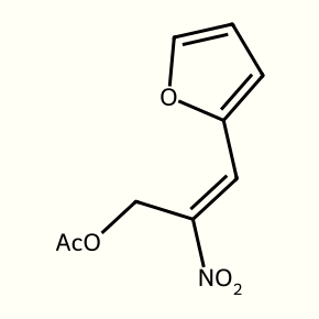 CC(=O)OCC(=Cc1ccco1)[N+](=O)[O-]